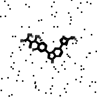 CC(C)N(C)C(=O)N(C)c1ccc(C2=CNC3C=CC(c4cnn(C)c4)=CN23)cc1F